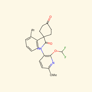 COc1ccc(NC(=O)C2(c3ccccc3C(C)C)CCC(=O)CC2)c(OC(F)F)n1